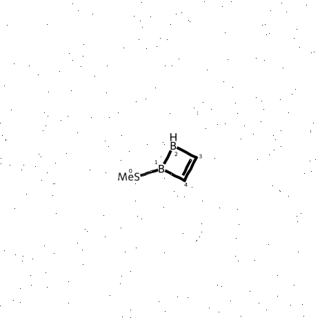 CSB1BC=C1